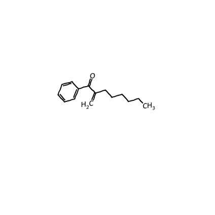 C=C(CCCCCC)C(=O)c1ccccc1